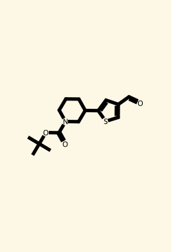 CC(C)(C)OC(=O)N1CCCC(c2cc(C=O)cs2)C1